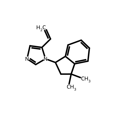 C=Cc1cncn1C1CC(C)(C)c2ccccc21